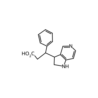 O=C(O)CC(c1ccccc1)C1CNc2ccncc21